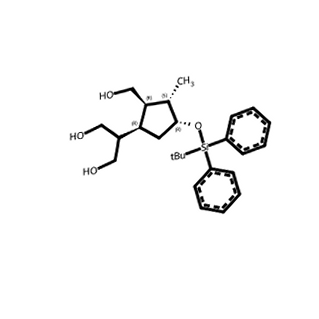 C[C@H]1[C@H](CO)[C@H](C(CO)CO)C[C@H]1O[Si](c1ccccc1)(c1ccccc1)C(C)(C)C